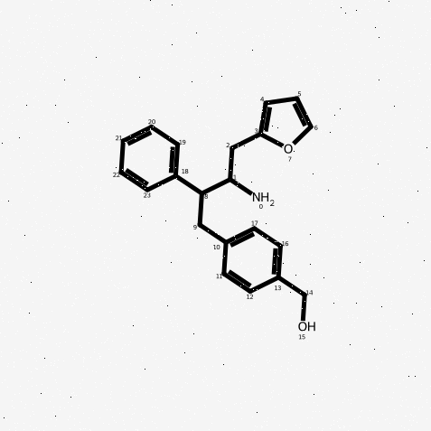 NC(Cc1ccco1)C(Cc1ccc(CO)cc1)c1ccccc1